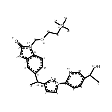 CC(O)c1ccc(-n2ccc(C(C)c3ccc4c(c3)sc(=O)n4COCC[Si](C)(C)C)n2)nc1